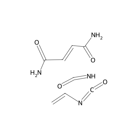 C=CN=C=O.N=C=O.NC(=O)C=CC(N)=O